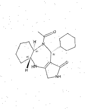 CC(=O)N1[C@@H]2CCCC[C@H]2NC2=C(C(=O)NC2)[C@H]1C1CCCCC1